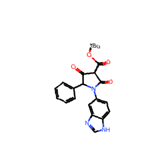 CC(C)(C)OC(=O)C1C(=O)C(c2ccccc2)N(c2ccc3[nH]cnc3c2)C1=O